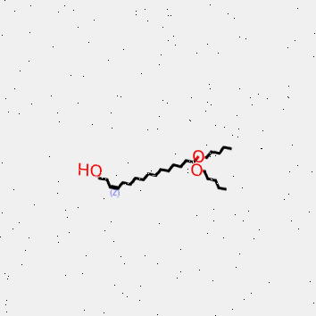 CCCCCOC(CCCCCCCCCCC/C=C\CCO)OCCCCC